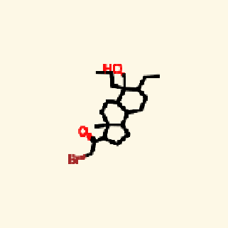 CCCC1(CO)C(CC)CCC2C3CCC(C(=O)CBr)C3(C)CCC21